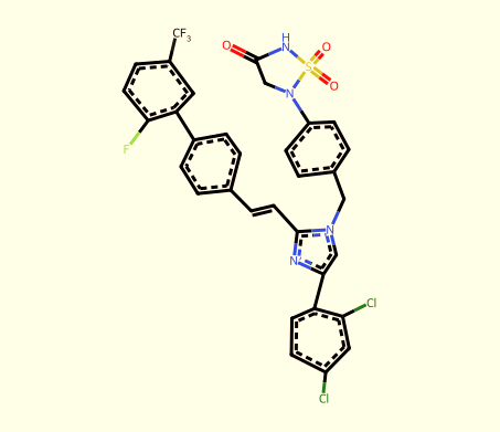 O=C1CN(c2ccc(Cn3cc(-c4ccc(Cl)cc4Cl)nc3/C=C/c3ccc(-c4cc(C(F)(F)F)ccc4F)cc3)cc2)S(=O)(=O)N1